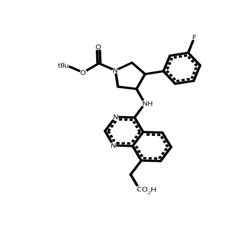 CC(C)(C)OC(=O)N1CC(Nc2ncnc3c(CC(=O)O)cccc23)C(c2cccc(F)c2)C1